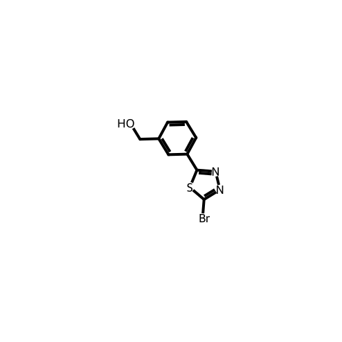 OCc1cccc(-c2nnc(Br)s2)c1